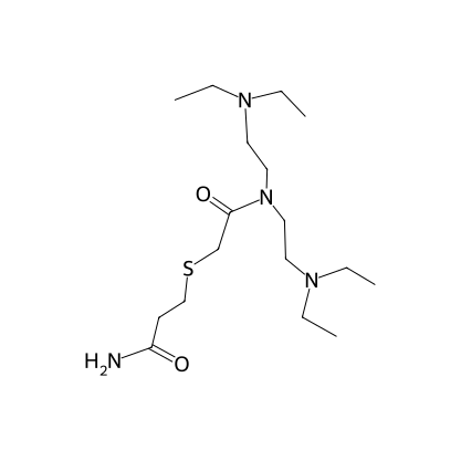 CCN(CC)CCN(CCN(CC)CC)C(=O)CSCCC(N)=O